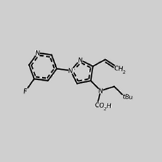 C=Cc1nn(-c2cncc(F)c2)cc1N(CC(C)(C)C)C(=O)O